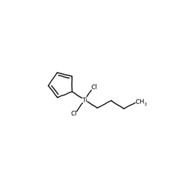 CCC[CH2][Ti]([Cl])([Cl])[CH]1C=CC=C1